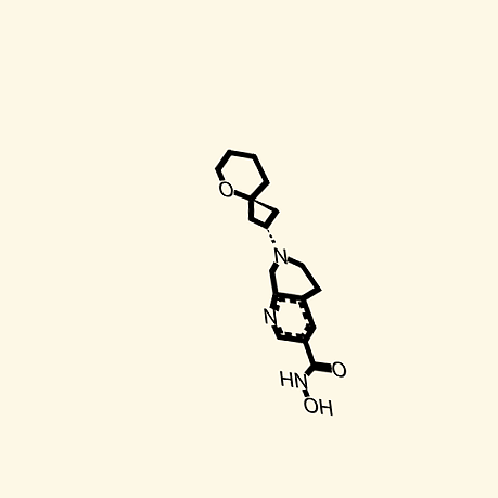 O=C(NO)c1cnc2c(c1)CCN([C@H]1C[C@@]3(CCCCO3)C1)C2